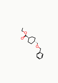 CCOC(=O)[C@H]1CC[C@H](COCc2ccccc2)CC1